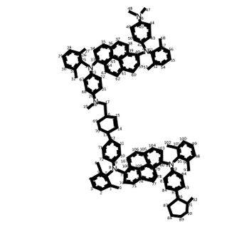 Cc1cccc(C)c1N(c1ccc(C2C=CC(CN(C)c3ccc(N(c4c(C)cccc4C)c4ccc5ccc6c(N(c7ccc(N(C)C)cc7)c7c(C)cccc7C)ccc7ccc4c5c76)cc3)CC2)cc1)c1ccc2ccc3c(N(c4ccc(C5CCCCC5C)cc4)c4c(C)cccc4C)ccc4ccc1c2c43